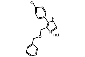 Cl.Clc1ccc(-c2[nH]cnc2COCc2ccccc2)cc1